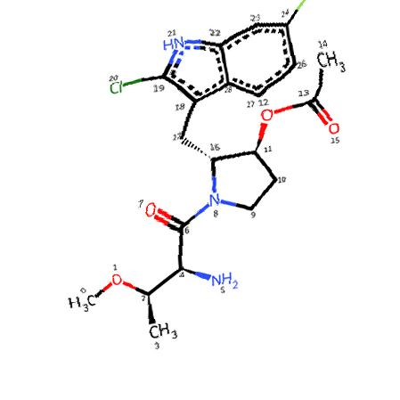 CO[C@H](C)[C@H](N)C(=O)N1CC[C@H](OC(C)=O)[C@H]1Cc1c(Cl)[nH]c2cc(F)ccc12